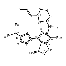 CC=CN1CCCC(N(C)c2nc(-c3cnn(C(F)F)c3)c3c(c2F)CNC3=O)C1